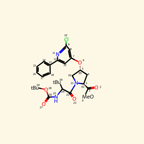 COC(=O)[C@@H]1C[C@@H](Oc2cc(Cl)nc(-c3ccccc3)c2)CN1C(=O)C(NC(=O)OC(C)(C)C)C(C)(C)C